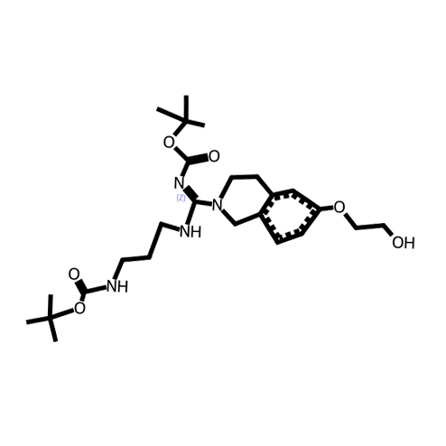 CC(C)(C)OC(=O)/N=C(/NCCCNC(=O)OC(C)(C)C)N1CCc2cc(OCCO)ccc2C1